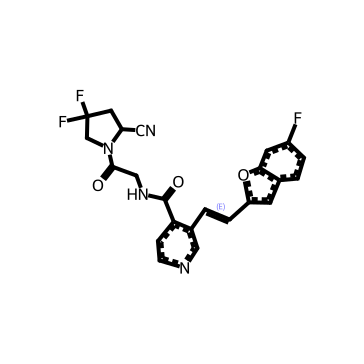 N#CC1CC(F)(F)CN1C(=O)CNC(=O)c1ccncc1/C=C/c1cc2ccc(F)cc2o1